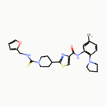 O=C(Nc1cc(C(F)(F)F)ccc1N1CCCC1)c1csc(C2CCN(C(=S)NCc3ccco3)CC2)n1